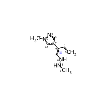 C=C/C(=C\NNC)c1cnn(C)c1